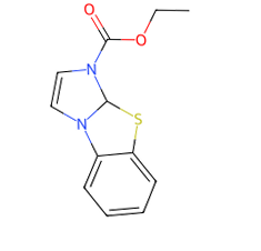 CCOC(=O)N1C=CN2c3ccccc3SC12